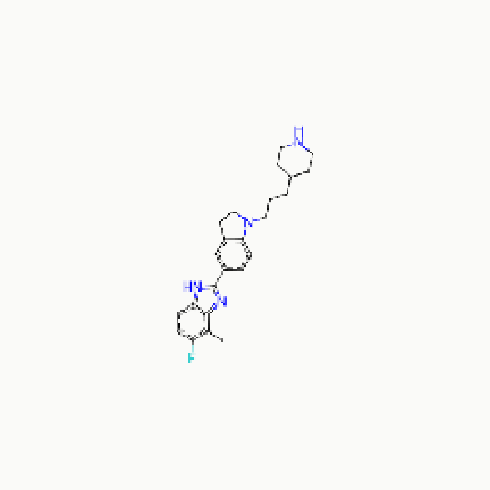 Cc1c(F)ccc2[nH]c(-c3ccc4c(c3)CCN4CCCC3CCNCC3)nc12